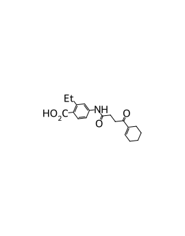 CCc1cc(NC(=O)CCC(=O)C2=CCCCC2)ccc1C(=O)O